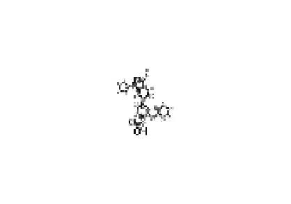 CCc1nn(C2CCCC2)c2cc(N3CCN(CC(=O)O)C(Cc4ccccc4)C3)ccc12